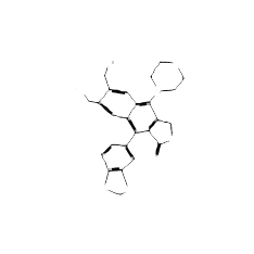 O=C1OCc2c1c(-c1ccc3c(c1)OCO3)c1cc(CO)c(CO)cc1c2N1CCOCC1